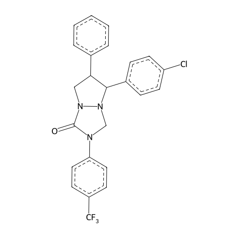 O=C1N(c2ccc(C(F)(F)F)cc2)CN2C(c3ccc(Cl)cc3)C(c3ccccc3)CN12